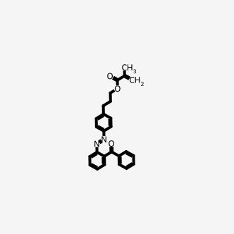 C=C(C)C(=O)OCCCc1ccc(N=Nc2ccccc2C(=O)c2ccccc2)cc1